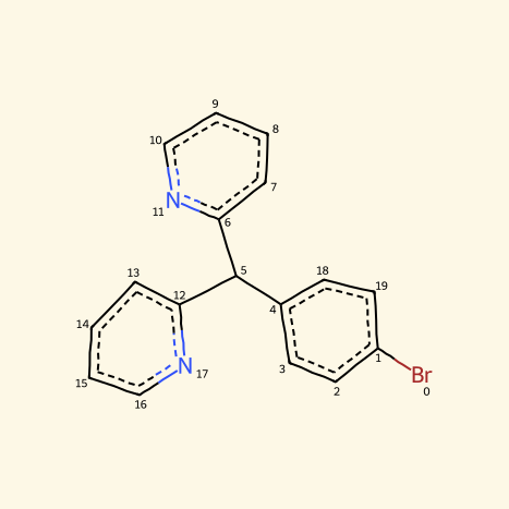 Brc1ccc(C(c2ccccn2)c2ccccn2)cc1